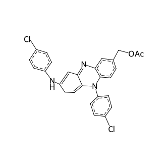 CC(=O)OCc1ccc2c(c1)N=C1C=C(Nc3ccc(Cl)cc3)CC=C1N2c1ccc(Cl)cc1